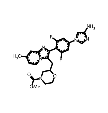 COC(=O)N1CCOC(Cc2c(-c3c(F)cc(-n4cnc(N)c4)cc3F)nc3cc(C)ccn23)C1